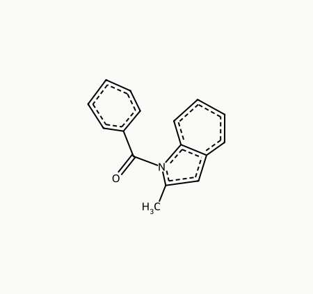 Cc1cc2ccccc2n1C(=O)c1ccccc1